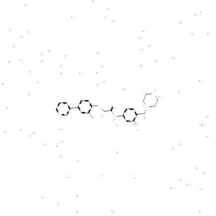 CCN1CCN(Cc2ccc(NC(=O)COc3ccc(-c4cccnc4)cc3C)cc2C(F)(F)F)CC1